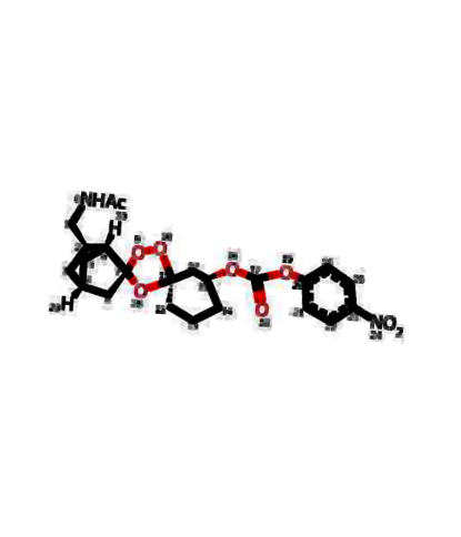 CC(=O)NC[C@@H]1C[C@@H]2C[C@H]1[C@]1(C2)OO[C@]2(CCC[C@H](OC(=O)Oc3ccc([N+](=O)[O-])cc3)C2)O1